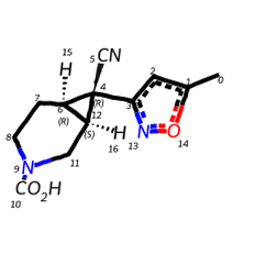 Cc1cc([C@@]2(C#N)[C@@H]3CCN(C(=O)O)C[C@@H]32)no1